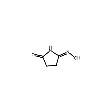 O=C1CCC(=NO)N1